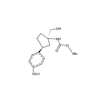 CCCCCCCCc1ccc([C@H]2CC[C@@](CO)(NC(=O)OC(C)(C)C)C2)cc1